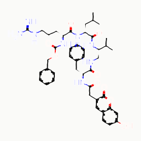 CC(C)C[C@H](NC(=O)[C@H](CCCNC(=N)N)NC(=O)OCc1ccccc1)C(=O)N[C@H](CNC(=O)[C@H](Cc1ccccc1)NC(=O)Cc1cc2ccc(O)cc2oc1=O)C(C)C